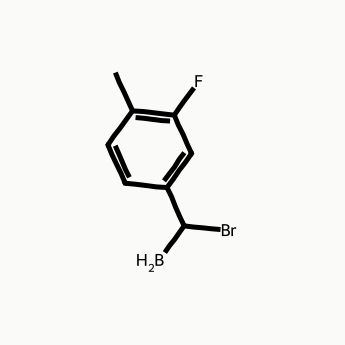 BC(Br)c1ccc(C)c(F)c1